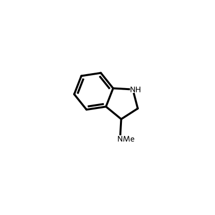 [CH2]NC1CNc2ccccc21